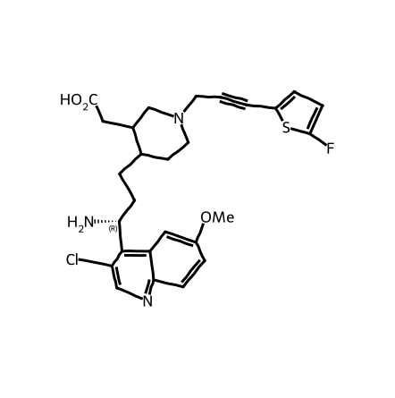 COc1ccc2ncc(Cl)c([C@H](N)CCC3CCN(CC#Cc4ccc(F)s4)CC3CC(=O)O)c2c1